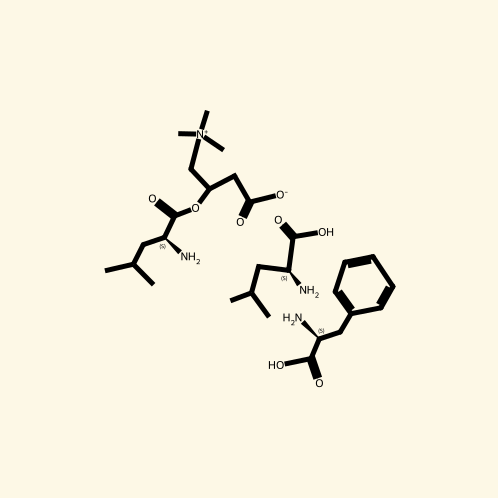 CC(C)C[C@H](N)C(=O)O.CC(C)C[C@H](N)C(=O)OC(CC(=O)[O-])C[N+](C)(C)C.N[C@@H](Cc1ccccc1)C(=O)O